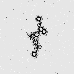 CSc1nc2c(c(N3CCN(C(=O)OCc4ccccc4)CC3)n1)CCN(c1cc(OCc3ccccc3)cc3ccccc13)C2